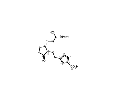 CCCCC[C@@H](O)C=C[C@H]1CCC(=O)N1CCc1ccc(C(=O)O)s1